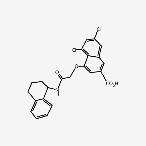 O=C(COc1cc(C(=O)O)cc2cc(Cl)cc(Cl)c12)NC1CCCc2ccccc21